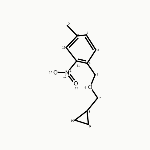 Cc1ccc(COCC2CC2)c([N+](=O)[O-])c1